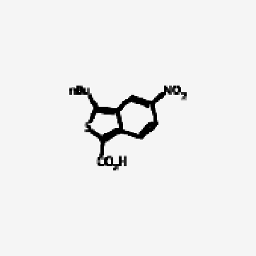 CCCCc1sc(C(=O)O)c2ccc([N+](=O)[O-])cc12